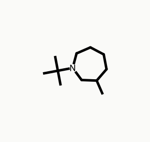 CC1CCCCN(C(C)(C)C)C1